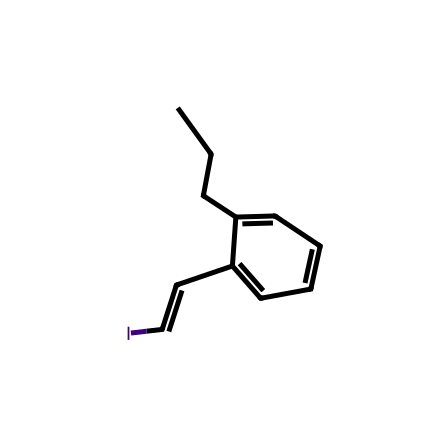 CCCc1ccccc1/C=C/I